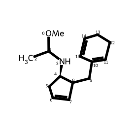 COC(C)N[C@@H]1CC=CC1CC1=CCCC=C1